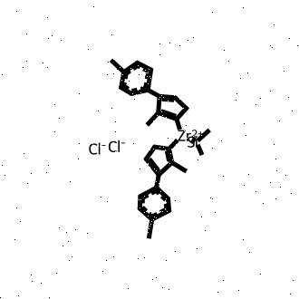 CC1=[C]([Zr+2]([C]2=C(C)C(c3ccc(C)cc3)=CC2)=[Si](C)C)CC=C1c1ccc(C)cc1.[Cl-].[Cl-]